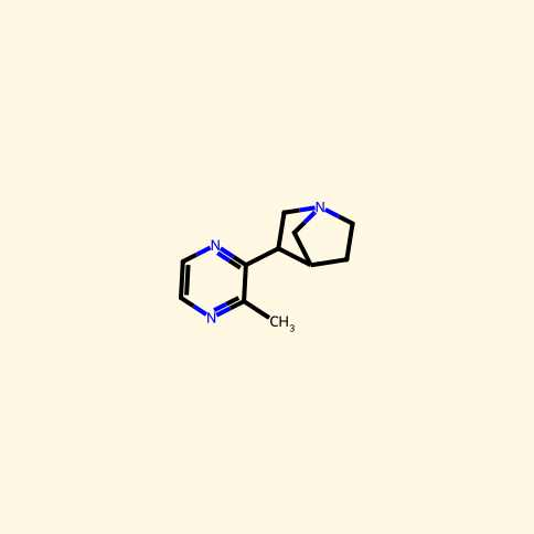 Cc1nccnc1C1CN2CCC1C2